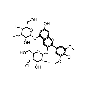 COc1cc(-c2[o+]c3cc(O)cc(O[C@@H]4O[C@H](CO)[C@@H](O)[C@H](O)[C@H]4O)c3cc2O[C@@H]2O[C@H](CO)[C@@H](O)[C@H](O)[C@H]2O)cc(OC)c1O.[Cl-]